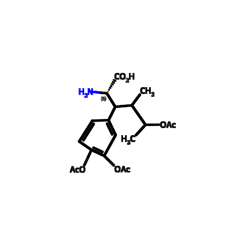 CC(=O)Oc1ccc(C(C(C)C(C)OC(C)=O)[C@H](N)C(=O)O)cc1OC(C)=O